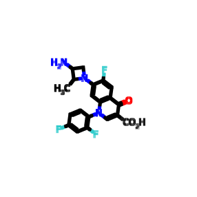 CC1C(N)CN1c1cc2c(cc1F)c(=O)c(C(=O)O)cn2-c1ccc(F)cc1F